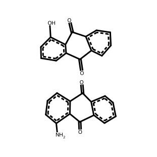 Nc1cccc2c1C(=O)c1ccccc1C2=O.O=C1c2ccccc2C(=O)c2c(O)cccc21